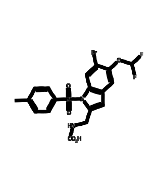 Cc1ccc(S(=O)(=O)n2c(CNC(=O)O)cc3cc(OC(F)F)c(Br)cc32)cc1